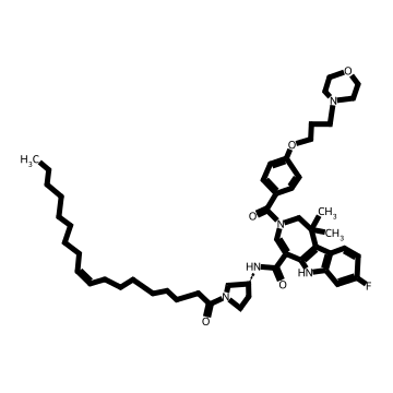 CCCCCCCC/C=C\CCCCCCCC(=O)N1CC[C@@H](NC(=O)C2=CN(C(=O)c3ccc(OCCCN4CCOCC4)cc3)CC(C)(C)c3c2[nH]c2cc(F)ccc32)C1